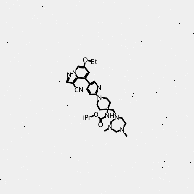 CCOc1cc(-c2ccc(N3CCC(CN4CCN(C)CN(C)C4)(NC(=O)OC(C)C)CC3)nc2)c2c(C#N)cnn2c1